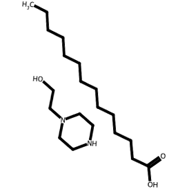 CCCCCCCCCCCCCC(=O)O.OCCN1CCNCC1